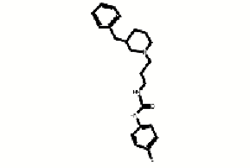 O=C(NCCCN1CCCC(Cc2ccccc2)C1)Nc1ccc(F)cc1